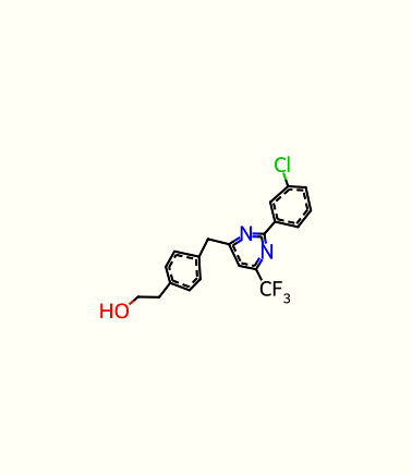 OCCc1ccc(Cc2cc(C(F)(F)F)nc(-c3cccc(Cl)c3)n2)cc1